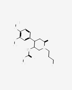 CCCCN1CC(NC(=O)OC)C(c2ccc(OC)c(OC)c2)CC1=O